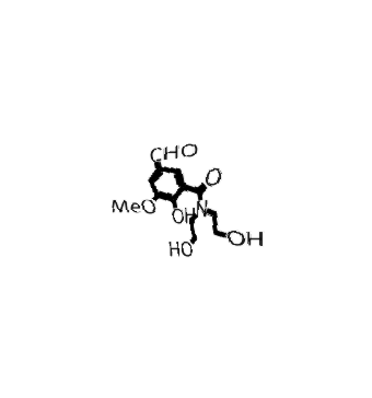 COc1cc(C=O)cc(C(=O)N(CCO)CCO)c1O